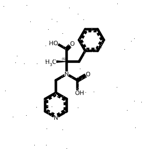 C[C@](Cc1ccccc1)(C(=O)O)N(Cc1ccncc1)C(=O)O